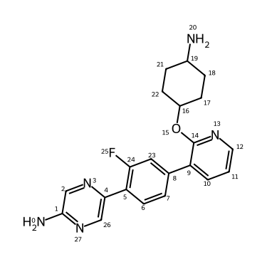 Nc1cnc(-c2ccc(-c3cccnc3OC3CCC(N)CC3)cc2F)cn1